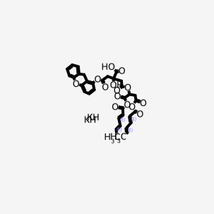 C/C=C/C=C/C(=O)OC(=O)CC(OC(=O)CC(O)(CC(=O)Oc1cccc2c1Cc1ccccc1O2)C(=O)O)C(=O)OC(=O)/C=C/C=C/C.[KH].[KH]